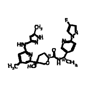 Cc1cc(Nc2cc(C)[nH]n2)nc([C@]2(O)CC[C@@H](C(=O)N[C@@H](C)c3ccc(-n4cc(F)cn4)nc3)OC2)c1